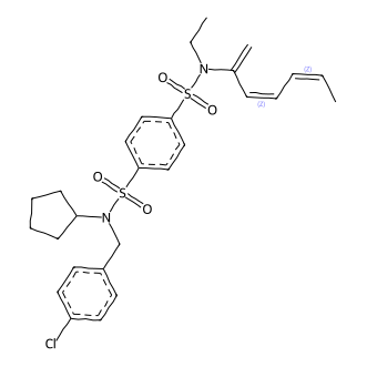 C=C(/C=C\C=C/C)N(CC)S(=O)(=O)c1ccc(S(=O)(=O)N(Cc2ccc(Cl)cc2)C2CCCC2)cc1